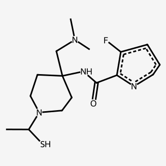 CC(S)N1CCC(CN(C)C)(NC(=O)c2ncccc2F)CC1